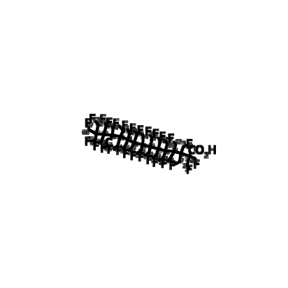 O=C(O)C(CF)(CF)C(CF)(CF)C(CF)(CF)C(CF)(CF)C(CF)(CF)C(CF)(CF)C(CF)(CF)C(CF)(CF)C(CF)(CF)C(CF)(CF)C(CF)(CF)C(CF)(CF)C(CF)(CF)CF